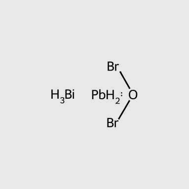 BrOBr.[BiH3].[PbH2]